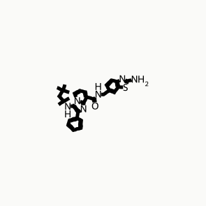 CC(C)(C)CC(C)(C)Nc1c(-c2ccccc2)nc2c(C(=O)NCc3ccc4nc(N)sc4c3)cccn12